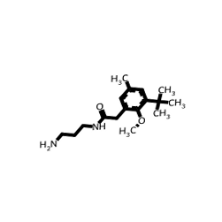 COc1c(CC(=O)NCCCN)cc(C)cc1C(C)(C)C